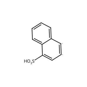 O=S(=O)(O)c1c[c][c]c2ccccc12